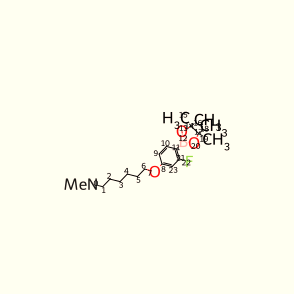 CNCCCCCCOc1ccc(B2OC(C)(C)C(C)(C)O2)c(F)c1